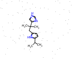 CC(C)c1ccc(CC(C)(C)c2c[nH]cn2)[nH]1